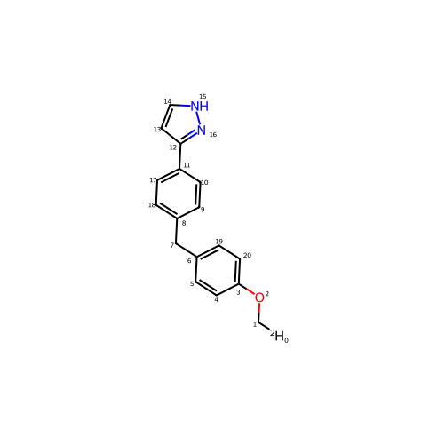 [2H]COc1ccc(Cc2ccc(-c3cc[nH]n3)cc2)cc1